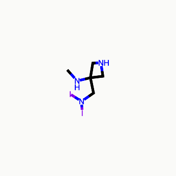 CNC1(CN(I)I)CNC1